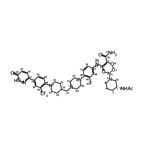 CC(=O)N[C@@H]1CCCN(n2ooc(C(N)=O)c(Nc3ccc(N4CCN(CC5CCN(c6ccc(-c7ccc(=O)[nH]n7)cc6C(F)(F)F)CC5)CC4)c(F)c3)o2)C1